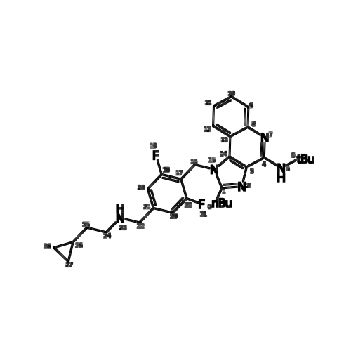 CCCCc1nc2c(NC(C)(C)C)nc3ccccc3c2n1Cc1c(F)cc(CNCCC2CC2)cc1F